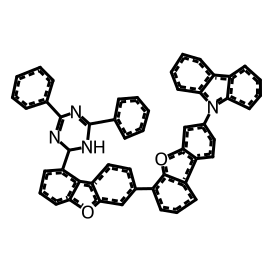 c1ccc(C2=NC(c3cccc4oc5cc(-c6cccc7c6oc6cc(-n8c9ccccc9c9ccccc98)ccc67)ccc5c34)NC(c3ccccc3)=N2)cc1